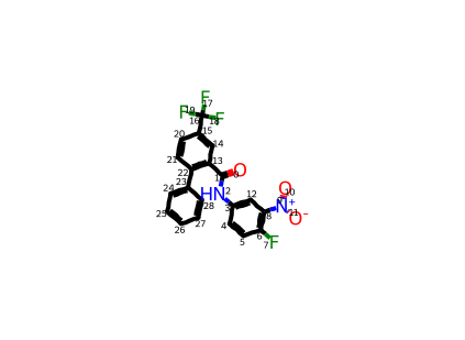 O=C(Nc1ccc(F)c([N+](=O)[O-])c1)c1cc(C(F)(F)F)ccc1-c1ccccc1